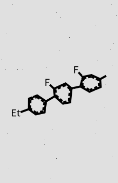 CCc1ccc(-c2ccc(-c3ccc(C)cc3F)cc2F)cc1